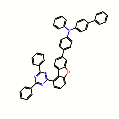 c1ccc(-c2ccc(N(c3ccccc3)c3ccc(-c4ccc5c(c4)oc4cccc(-c6nc(-c7ccccc7)nc(-c7ccccc7)n6)c45)cc3)cc2)cc1